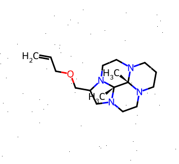 C=CCOCC1CN2CCN3CCCN4CCN1[C@]2(C)[C@@]34C